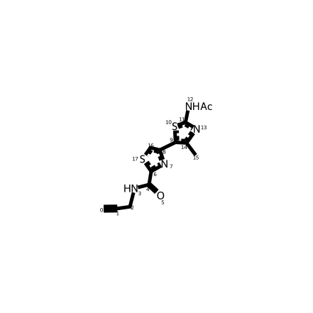 C#CCNC(=O)c1nc(-c2sc(NC(C)=O)nc2C)cs1